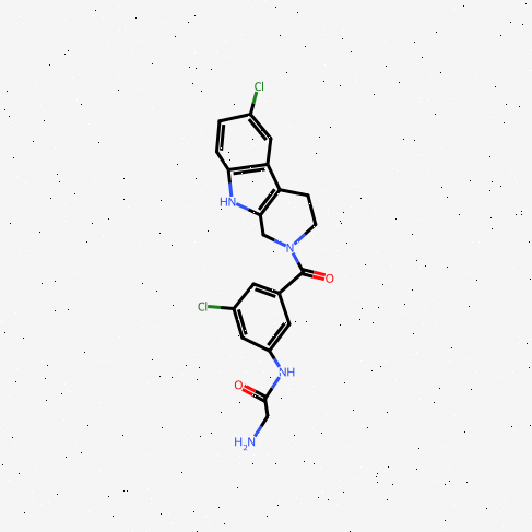 NCC(=O)Nc1cc(Cl)cc(C(=O)N2CCc3c([nH]c4ccc(Cl)cc34)C2)c1